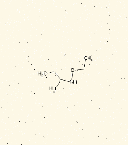 CCONC(C)CC